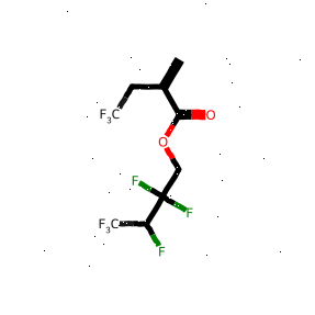 C=C(CC(F)(F)F)C(=O)OCC(F)(F)C(F)C(F)(F)F